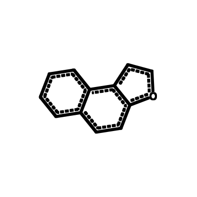 c1ccc2c(c1)ccc1occc12